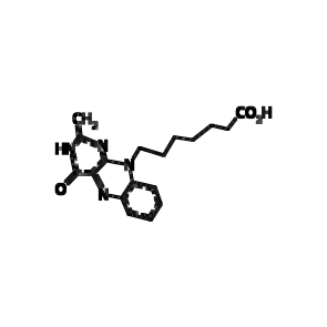 C=c1nc2c(c(=O)[nH]1)=Nc1ccccc1N2CCCCCCC(=O)O